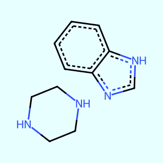 C1CNCCN1.c1ccc2[nH]cnc2c1